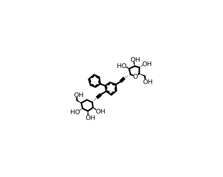 OC[C@H]1C[C@H](C#Cc2ccc(C#C[C@H]3O[C@H](CO)[C@@H](O)[C@H](O)[C@@H]3O)cc2-c2ccccc2)[C@@H](O)[C@@H](O)[C@@H]1O